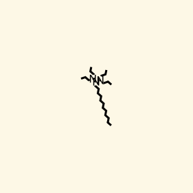 CCCCCCCCCCCCN(N(CCC)CCC)N(CCC)CCC